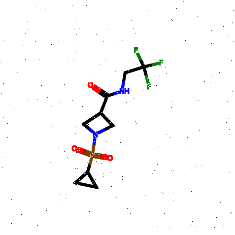 O=C(NCC(F)(F)F)C1CN(S(=O)(=O)C2CC2)C1